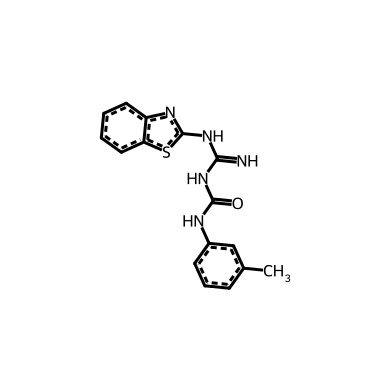 Cc1cccc(NC(=O)NC(=N)Nc2nc3ccccc3s2)c1